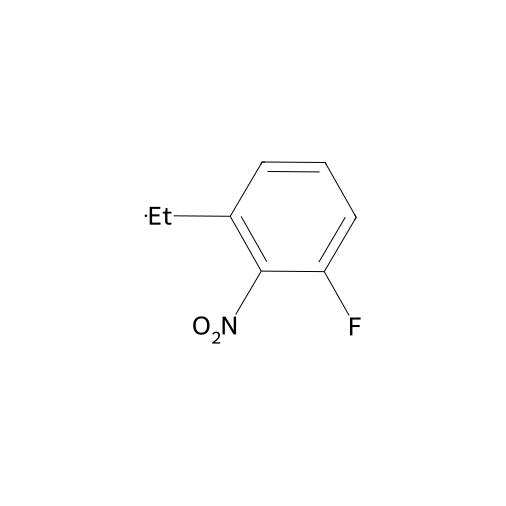 C[CH]c1cccc(F)c1[N+](=O)[O-]